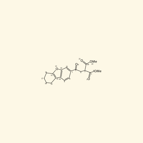 COC(=O)C(CC(=O)c1ccc2c3c(oc2c1)CCCC3)C(=O)OC